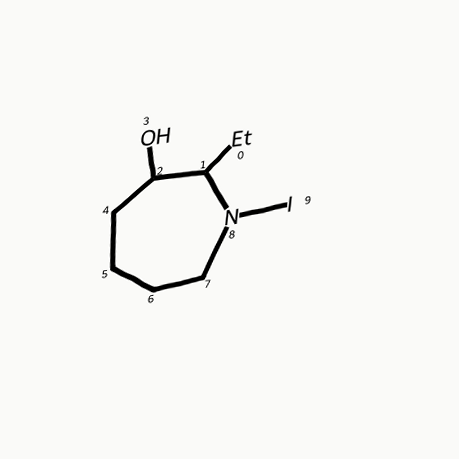 CCC1C(O)CCCCN1I